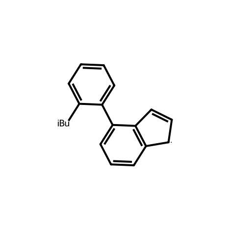 CCC(C)c1ccccc1-c1cccc2c1C=C[CH]2